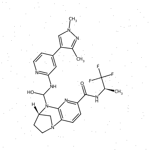 Cc1nn(C)cc1-c1ccnc(NC(O)N2c3nc(C(=O)N[C@H](C)C(F)(F)F)ccc3N3CC[C@H]2C3)c1